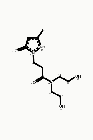 Cc1cc(=O)n(CCC(=O)N(CCO)CCO)[nH]1